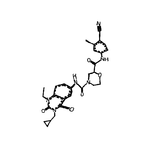 CCn1c(=O)n(CC2CC2)c(=O)c2cc(NC(=O)N3CCOC(C(=O)Nc4ccc(C#N)c(C)c4)C3)ccc21